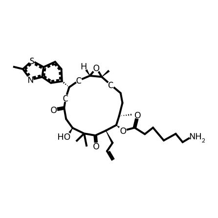 C=CC[C@H]1C(=O)C(C)(C)[C@@H](O)CC(=O)C[C@H](c2ccc3sc(C)nc3c2)C[C@@H]2O[C@]2(C)CCC[C@H](C)[C@@H]1OC(=O)CCCCCN